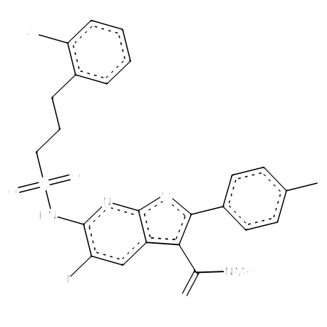 CNC(=O)c1c(-c2ccc(C)cc2)oc2nc(NS(=O)(=O)CCCc3ccccc3Cl)c(I)cc12